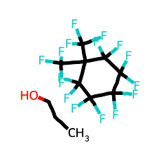 CCCO.FC(F)(F)C1(C(F)(F)F)C(F)(F)C(F)(F)C(F)(F)C(F)(F)C1(F)F